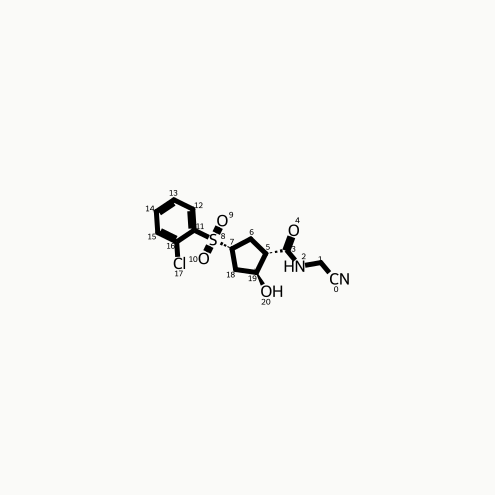 N#CCNC(=O)[C@H]1C[C@@H](S(=O)(=O)c2ccccc2Cl)C[C@@H]1O